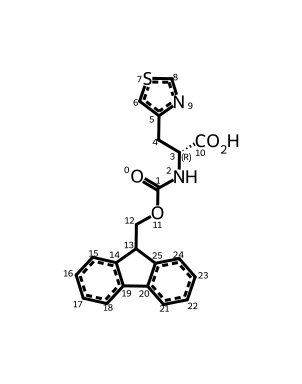 O=C(N[C@H](Cc1cscn1)C(=O)O)OCC1c2ccccc2-c2ccccc21